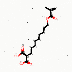 C=C(C)C(=O)OCCCCCCCCCC(C(=O)O)C(=O)O